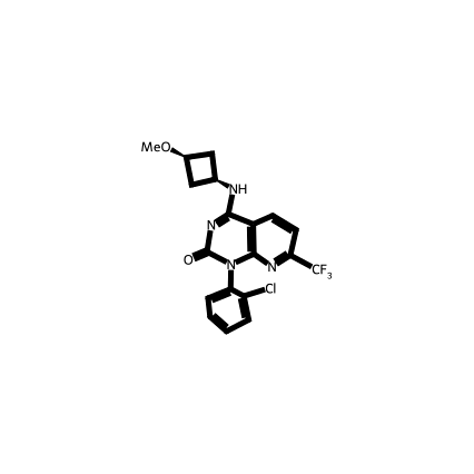 CO[C@H]1C[C@@H](Nc2nc(=O)n(-c3ccccc3Cl)c3nc(C(F)(F)F)ccc23)C1